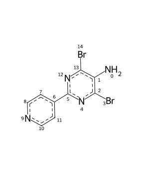 Nc1c(Br)nc(-c2ccncc2)nc1Br